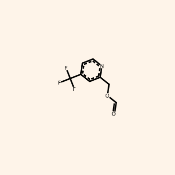 O=COCc1cc(C(F)(F)F)ccn1